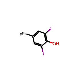 CCCc1cc(I)c(O)c(I)c1